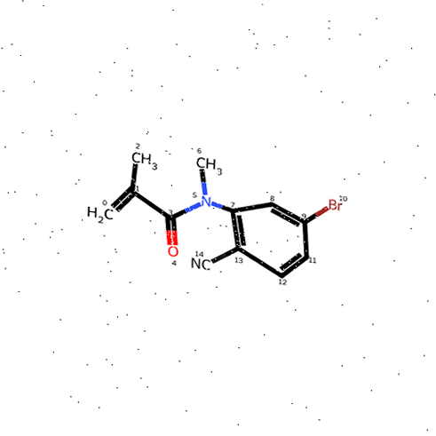 C=C(C)C(=O)N(C)c1cc(Br)ccc1C#N